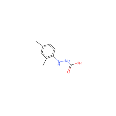 Cc1ccc(NNC(=O)O)c(C)c1